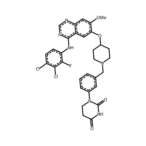 COc1cc2ncnc(Nc3ccc(Cl)c(Cl)c3F)c2cc1OC1CCN(Cc2cccc(N3CCC(=O)NC3=O)c2)CC1